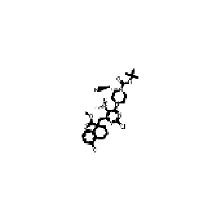 COC(=O)C1(Cc2nc(Cl)nc(N3CCN(C(=O)OC(C)(C)C)[C@@H](CC#N)C3)c2[N+](=O)[O-])CCCc2c(Cl)cccc21